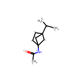 CC(=O)NC12CCC(C(C)C)(C1)C2